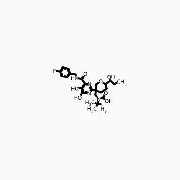 CCC(O)C1CCC(CN(C(=O)O)C(C)(C)C)(c2nc(O)c(O)c(C(=O)NCc3ccc(F)cc3)n2)CO1